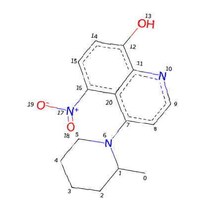 CC1CCCCN1c1ccnc2c(O)ccc([N+](=O)[O-])c12